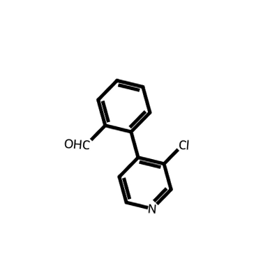 O=Cc1ccccc1-c1ccncc1Cl